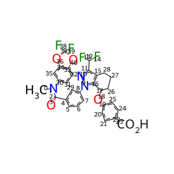 CN(C(=O)c1cccc(-n2nc(C(F)F)c3c2C(Oc2ccc(C(=O)O)cc2)CCC3)c1)c1ccc2c(c1)OC(F)(F)O2